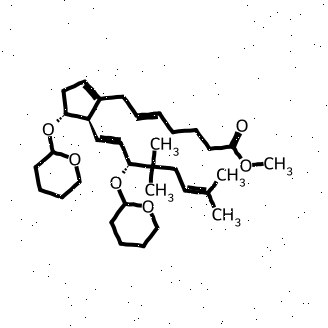 COC(=O)CCCC=CCC1=CC[C@@H](OC2CCCCO2)[C@@H]1C=C[C@@H](OC1CCCCO1)C(C)(C)CC=C(C)C